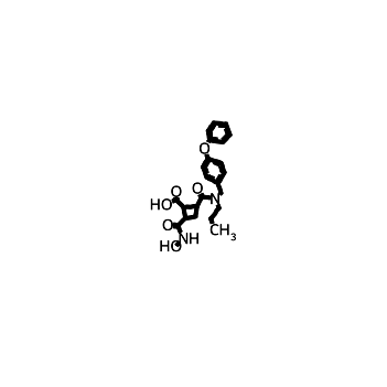 CCCN(Cc1ccc(Oc2ccccc2)cc1)C(=O)C1CC(C(=O)NO)C1C(=O)O